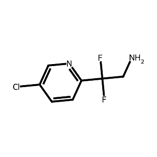 NCC(F)(F)c1ccc(Cl)cn1